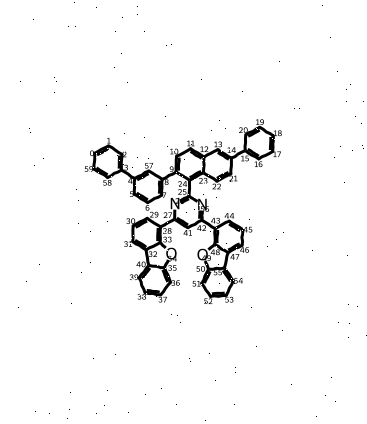 c1ccc(-c2cccc(-c3ccc4cc(-c5ccccc5)ccc4c3-c3nc(-c4cccc5c4oc4ccccc45)cc(-c4cccc5c4oc4ccccc45)n3)c2)cc1